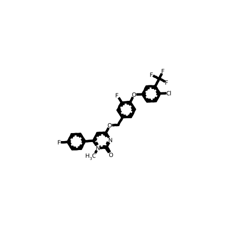 Cn1c(-c2ccc(F)cc2)cc(OCc2ccc(Oc3ccc(Cl)c(C(F)(F)F)c3)c(F)c2)nc1=O